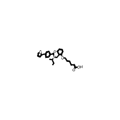 CCC(C)N(Cc1ccccc1OCCCCCC(=O)O)C(=O)c1ccc(-c2ccco2)cc1